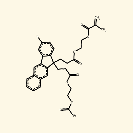 C=C(C)C(=O)OCCOC(=O)CCC1(CCC(=O)OCCOC(=O)C(C)C)c2ccc(F)cc2-c2cc3ccccc3cc21